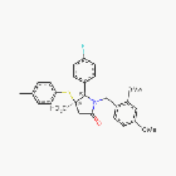 COc1ccc(CN2C(=O)C[C@](Sc3ccc(C)cc3)(C(=O)O)[C@H]2c2ccc(F)cc2)c(OC)c1